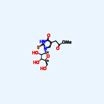 COC(=O)Cc1cn([C@H]2O[C@@H](CO)C(O)C2O)c(=S)[nH]c1=O